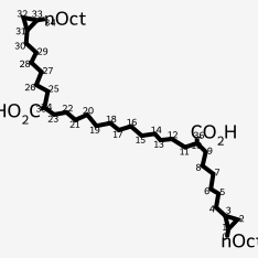 CCCCCCCCC1CC1CCCCCCC(CCCCCCCCCCCCCC(CCCCCCC1CC1CCCCCCCC)C(=O)O)C(=O)O